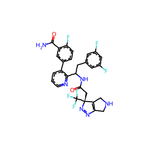 NC(=O)c1cc(-c2cccnc2C(Cc2cc(F)cc(F)c2)NC(=O)C[C@]2(C(F)(F)F)N=NC3=C2CNC3)ccc1F